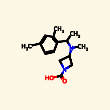 Cc1ccc(C(C)N(C)C2CN(C(=O)O)C2)c(C)c1